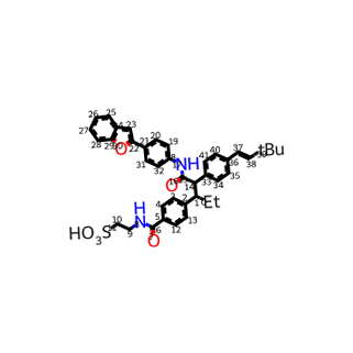 CCC(c1ccc(C(=O)NCCS(=O)(=O)O)cc1)C(C(=O)Nc1ccc(-c2cc3ccccc3o2)cc1)c1ccc(/C=C/C(C)(C)C)cc1